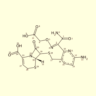 NC(=O)C(=NOCC(=O)O)c1nc(N)ccc1CSC1C(=O)N2C(C(=O)O)=CCS[C@@H]12